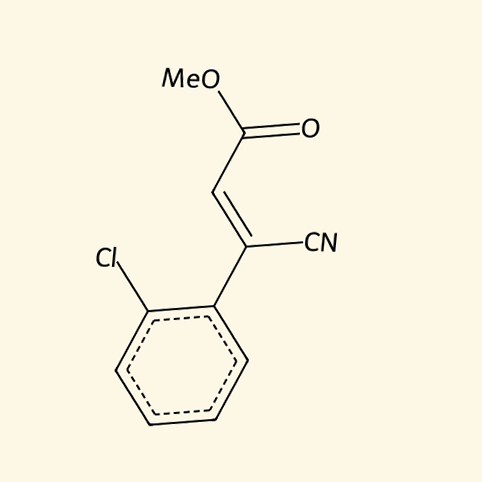 COC(=O)C=C(C#N)c1ccccc1Cl